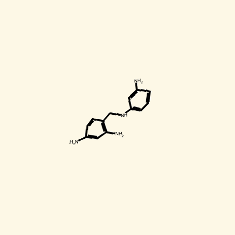 Nc1cccc(NCc2ccc(N)cc2N)c1